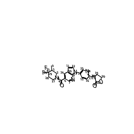 CC1CN(C(=O)c2cnc3c(ccn3-c3ccc(N4CCOC4=O)nc3)c2)CCC1(F)F